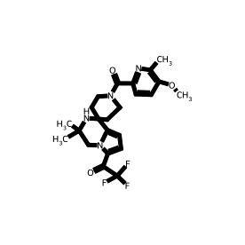 COc1ccc(C(=O)N2CCC3(CC2)NC(C)(C)Cn2c(C(=O)C(F)(F)F)ccc23)nc1C